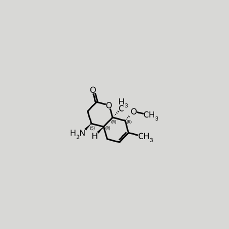 CO[C@@H]1C(C)=CC[C@@H]2[C@@H](N)CC(=O)O[C@@]12C